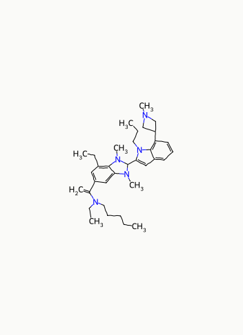 C=C(c1cc(CC)c2c(c1)N(C)C(c1cc3cccc(C4CN(C)C4)c3n1CCC)N2C)N(CC)CCCCC